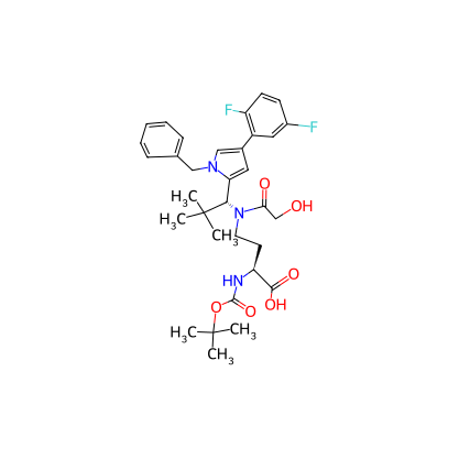 CC(C)(C)OC(=O)N[C@@H](CCN(C(=O)CO)[C@@H](c1cc(-c2cc(F)ccc2F)cn1Cc1ccccc1)C(C)(C)C)C(=O)O